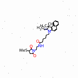 C/C=C1/N(CCCCCC(=O)NCCN2C(=O)CC(SC)C2=O)c2ccc3ccccc3c2C1(C)C